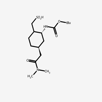 CN(C)C(=O)C[C@H]1CCC(CS(=O)(=O)O)[C@H](NC(=O)OC(C)(C)C)C1